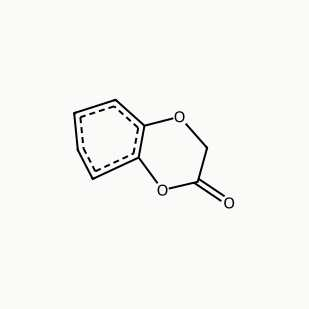 O=C1COc2ccccc2O1